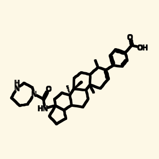 CC1C(c2ccc(C(=O)O)cc2)=CCC2(C)C1CC[C@]1(C)C2CCC2C3CCCC3(NC(=O)N3CCCNCC3)CC[C@]21C